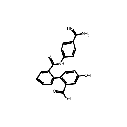 N=C(N)c1ccc(NC(=O)c2ccccc2-c2ccc(O)cc2C(=O)O)cc1